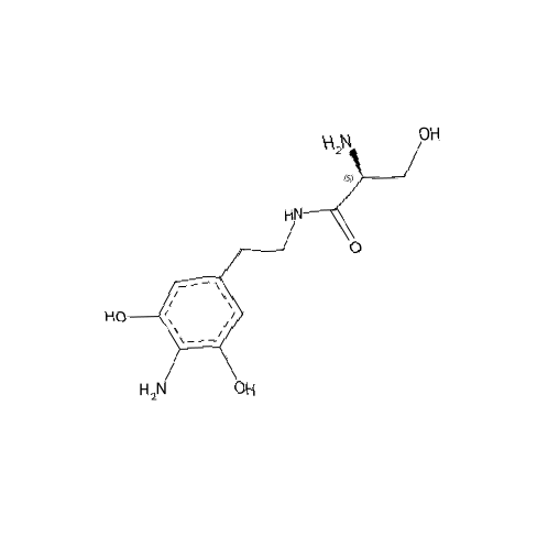 Nc1c(O)cc(CCNC(=O)[C@@H](N)CO)cc1O